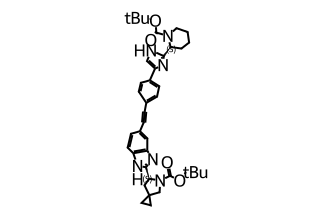 CC(C)(C)OC(=O)N1CCCC[C@H]1c1nc(-c2ccc(C#Cc3ccc4[nH]c([C@@H]5CC6(CC6)CN5C(=O)OC(C)(C)C)nc4c3)cc2)c[nH]1